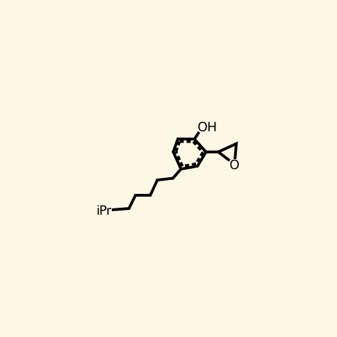 CC(C)CCCCCc1ccc(O)c(C2CO2)c1